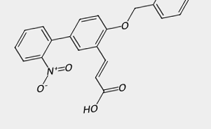 O=C(O)C=Cc1cc(-c2ccccc2[N+](=O)[O-])ccc1OCc1ccccc1